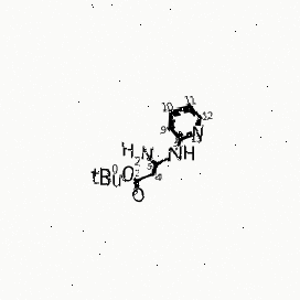 CC(C)(C)OC(=O)CC(N)Nc1ccccn1